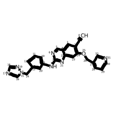 C#Cc1cc2cnc(Nc3cccc(Cn4cncn4)c3)nc2cc1OCc1cccnc1